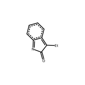 [CH2]CC1=c2ccccc2=NC1=O